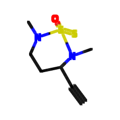 C#CC1CCN(C)S(=O)(=S)N1C